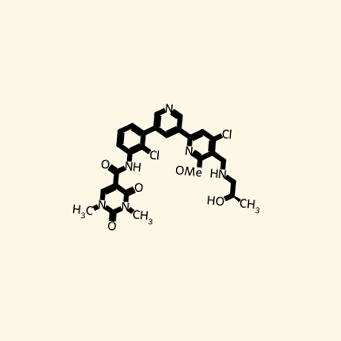 COc1nc(-c2cncc(-c3cccc(NC(=O)c4cn(C)c(=O)n(C)c4=O)c3Cl)c2)cc(Cl)c1CNC[C@@H](C)O